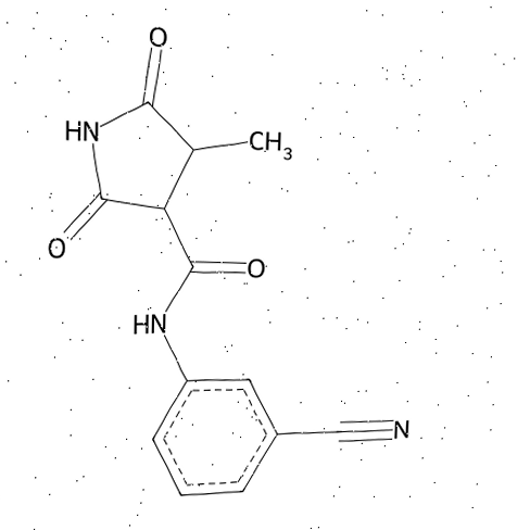 CC1C(=O)NC(=O)C1C(=O)Nc1cccc(C#N)c1